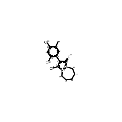 Cc1cc(-c2c(Cl)n3n(c2=O)CCCCC3)c(Cl)cc1Cl